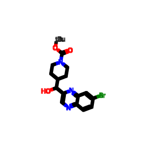 CC(C)(C)OC(=O)N1CCC(C(O)c2cnc3ccc(Br)cc3n2)CC1